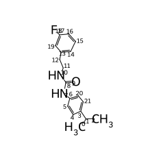 CC(C)c1ccc(NC(=O)NCCc2cccc(F)c2)cc1